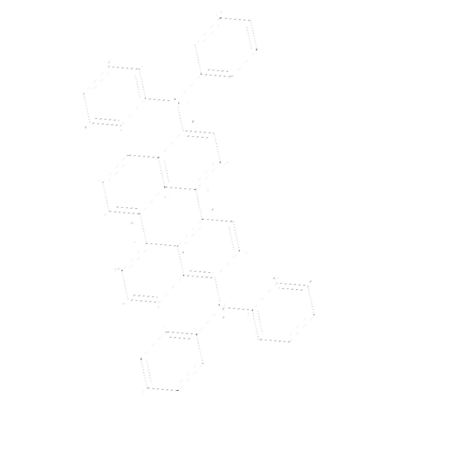 c1ccc(N(c2ccccc2)c2ccc3c4ccc(N(c5ccccc5)c5ccccc5)c5cccc(c6cccc2c63)c54)cc1